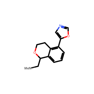 CNCC1OCCc2c(-c3cnco3)cccc21